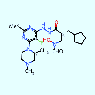 CSc1nc(NNC(=O)[C@H](CC2CCCC2)CN(O)C=O)c(F)c(N2CCN(C)C[C@@H]2C)n1